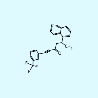 CC(CC(=O)C#Cc1cccc(C(F)(F)F)c1)c1cccc2ccccc12